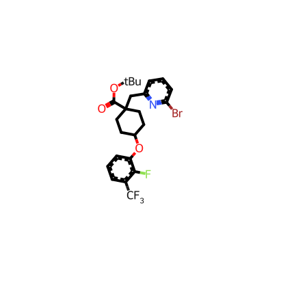 CC(C)(C)OC(=O)C1(Cc2cccc(Br)n2)CCC(Oc2cccc(C(F)(F)F)c2F)CC1